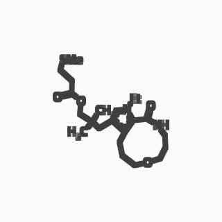 CCn1cc(CC(C)(C)COC(=O)CCSC)c2c1C(=O)NCCCOCCC2